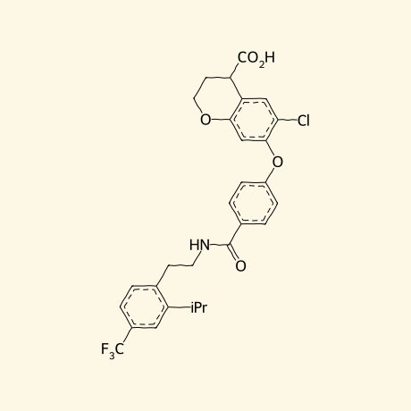 CC(C)c1cc(C(F)(F)F)ccc1CCNC(=O)c1ccc(Oc2cc3c(cc2Cl)C(C(=O)O)CCO3)cc1